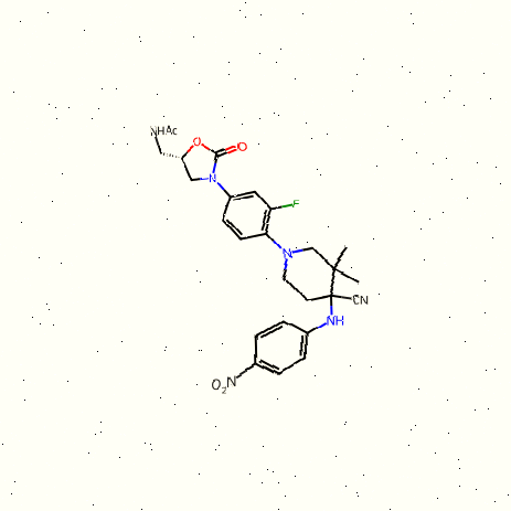 CC(=O)NC[C@H]1CN(c2ccc(N3CCC(C#N)(Nc4ccc([N+](=O)[O-])cc4)C(C)(C)C3)c(F)c2)C(=O)O1